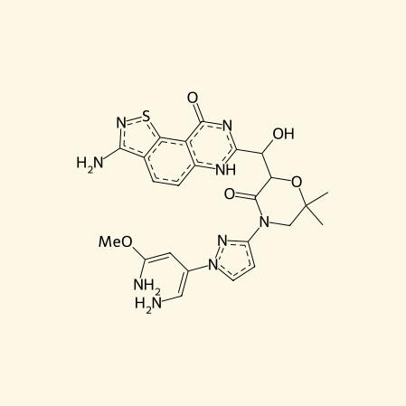 CO/C(N)=C/C(=C\N)n1ccc(N2CC(C)(C)OC(C(O)c3nc(=O)c4c(ccc5c(N)nsc54)[nH]3)C2=O)n1